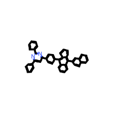 c1ccc(-c2cc(-c3ccc(-c4c5ccccc5c(-c5ccc6ccccc6c5)c5ccccc45)cc3)nc(-c3ccccc3)n2)cc1